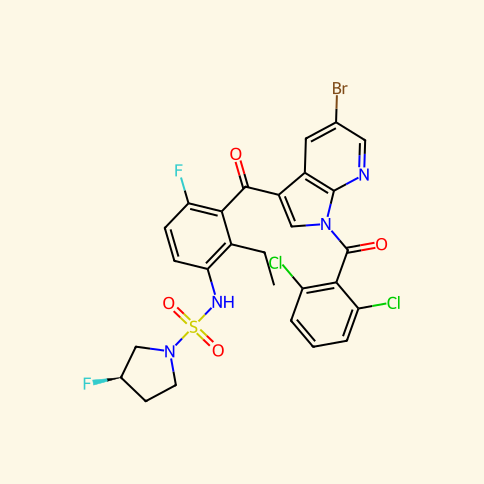 CCc1c(NS(=O)(=O)N2CC[C@@H](F)C2)ccc(F)c1C(=O)c1cn(C(=O)c2c(Cl)cccc2Cl)c2ncc(Br)cc12